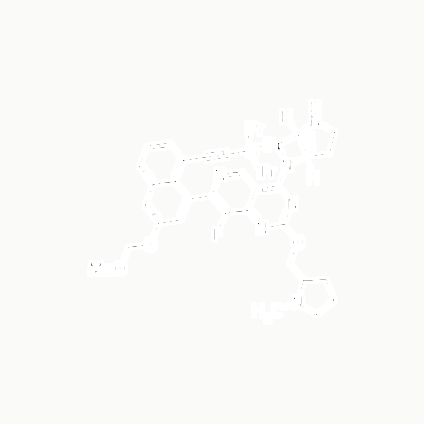 COCOc1cc(-c2ncc3c(N4C[C@H]5NCC[C@H]54)nc(OCC4CCCN4C)nc3c2F)c2c(C#C[Si](C(C)C)(C(C)C)C(C)C)cccc2c1